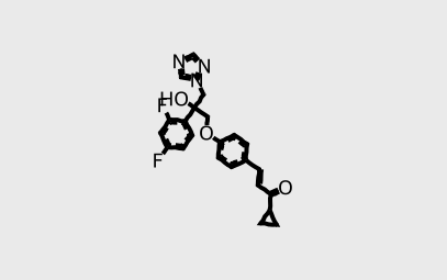 O=C(C=Cc1ccc(OCC(O)(Cn2cncn2)c2ccc(F)cc2F)cc1)C1CC1